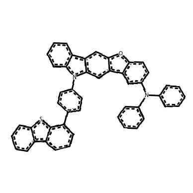 c1ccc(N(c2ccccc2)c2ccc3oc4cc5c6ccccc6n(-c6ccc(-c7cccc8c7sc7ccccc78)cc6)c5cc4c3c2)cc1